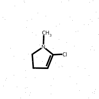 CN1CCC=C1Cl